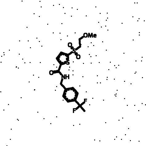 COCCS(=O)(=O)c1ccc(C(=O)NCc2ccc(C(C)(F)F)cc2)s1